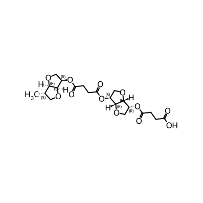 C[C@H]1CO[C@H]2[C@@H]1OC[C@H]2OC(=O)CCC(=O)O[C@H]1CO[C@H]2[C@@H]1OC[C@H]2OC(=O)CCC(=O)O